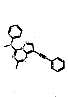 Cc1nc(N(C)c2ccccc2)n2ncc(C#Cc3ccccc3)c2n1